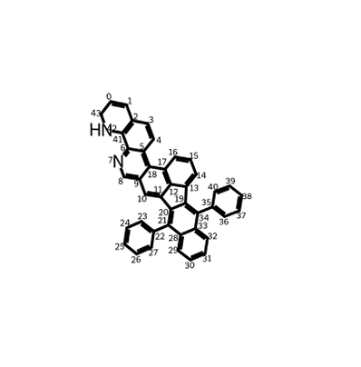 C1=Cc2ccc3c(ncc4cc5c6c(cccc6c43)-c3c-5c(-c4ccccc4)c4ccccc4c3-c3ccccc3)c2NC1